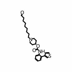 O=CCCCCCCCCN1CCC(OC(=O)Nc2ccccc2-c2ccsc2)CC1